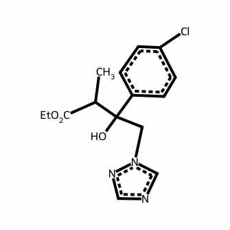 CCOC(=O)C(C)C(O)(Cn1cncn1)c1ccc(Cl)cc1